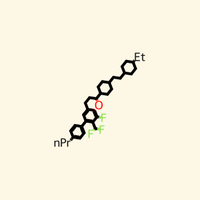 CCCc1ccc(-c2cc3c(c(F)c2C(F)F)OC(C2CCC(CCC4CCC(CC)CC4)CC2)CC3)cc1